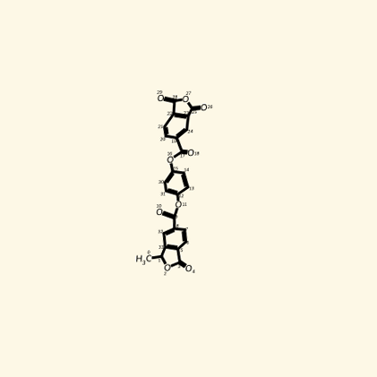 CC1OC(=O)c2ccc(C(=O)Oc3ccc(OC(=O)c4ccc5c(c4)C(=O)OC5=O)cc3)cc21